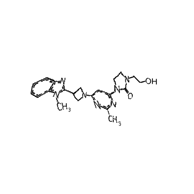 Cc1nc(N2CC(c3nc4ccccc4n3C)C2)cc(N2CCN(CCO)C2=O)n1